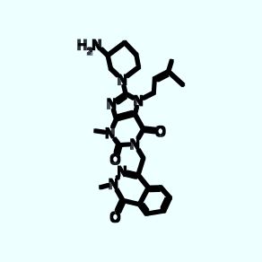 CC(C)=CCn1c(N2CCCC(N)C2)nc2c1c(=O)n(Cc1nn(C)c(=O)c3ccccc13)c(=O)n2C